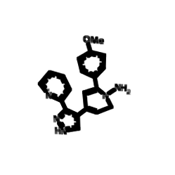 COc1ccc(C2=CC(c3c[nH]nc3-c3ccccn3)=CCN2N)cc1